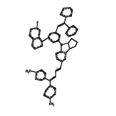 Cc1ccc(C(=C/C=C/c2ccc3c(c2)C2CCCC2N3c2cc(C=C(c3ccccc3)c3ccccc3)cc(-c3cccc4ccc(F)cc34)c2)c2ccc(C)cc2)cc1